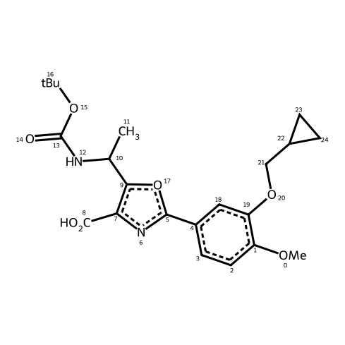 COc1ccc(-c2nc(C(=O)O)c(C(C)NC(=O)OC(C)(C)C)o2)cc1OCC1CC1